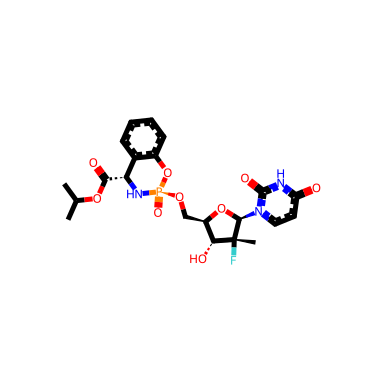 CC(C)OC(=O)[C@H]1N[P@](=O)(OC[C@H]2O[C@@H](n3ccc(=O)[nH]c3=O)[C@](C)(F)[C@@H]2O)Oc2ccccc21